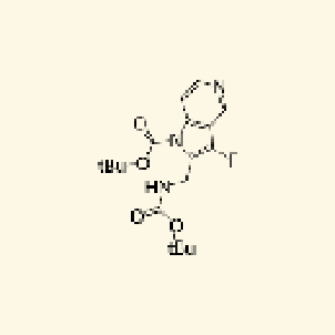 CC(C)(C)OC(=O)NCc1c(F)c2cnccc2n1C(=O)OC(C)(C)C